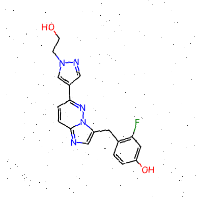 OCCn1cc(-c2ccc3ncc(Cc4ccc(O)cc4F)n3n2)cn1